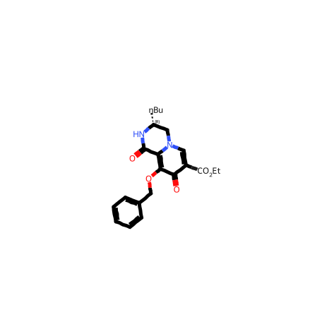 CCCC[C@@H]1Cn2cc(C(=O)OCC)c(=O)c(OCc3ccccc3)c2C(=O)N1